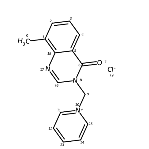 Cc1cccc2c(=O)n(C[n+]3ccccc3)cnc12.[Cl-]